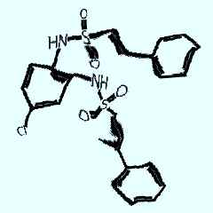 O=S(=O)(C=Cc1ccccc1)Nc1ccc(Cl)cc1NS(=O)(=O)C=Cc1ccccc1